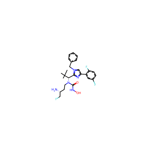 CC(C)(C)[C@H](c1nc(-c2cc(F)ccc2F)cn1Cc1ccccc1)N(CC[C@@H](N)CF)C(=O)NO